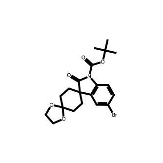 CC(C)(C)OC(=O)N1C(=O)C2(CCC3(CC2)OCCO3)c2cc(Br)ccc21